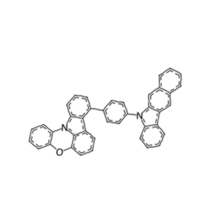 c1ccc2c(c1)Oc1cccc3c4c(-c5ccc(-n6c7ccccc7c7cc8ccccc8cc76)cc5)cccc4n-2c13